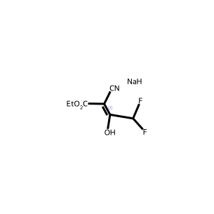 CCOC(=O)/C(C#N)=C(\O)C(F)F.[NaH]